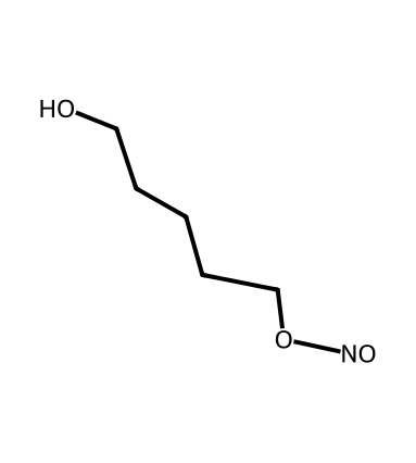 O=NOCCCCCO